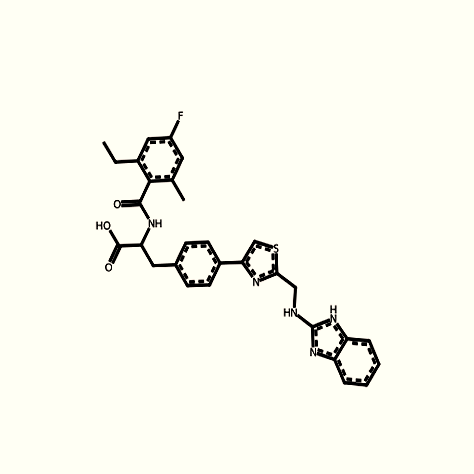 CCc1cc(F)cc(C)c1C(=O)NC(Cc1ccc(-c2csc(CNc3nc4ccccc4[nH]3)n2)cc1)C(=O)O